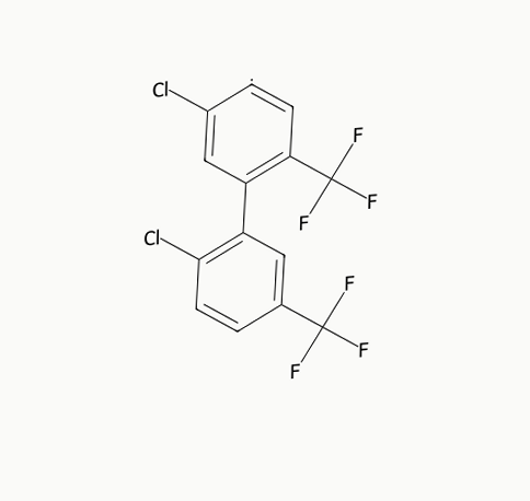 FC(F)(F)c1ccc(Cl)c(-c2cc(Cl)[c]cc2C(F)(F)F)c1